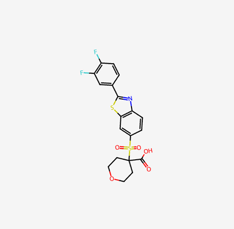 O=C(O)C1(S(=O)(=O)c2ccc3nc(-c4ccc(F)c(F)c4)sc3c2)CCOCC1